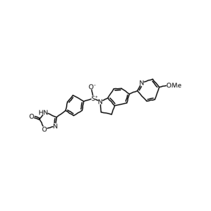 COc1ccc(-c2ccc3c(c2)CCN3[S+]([O-])c2ccc(-c3noc(=O)[nH]3)cc2)nc1